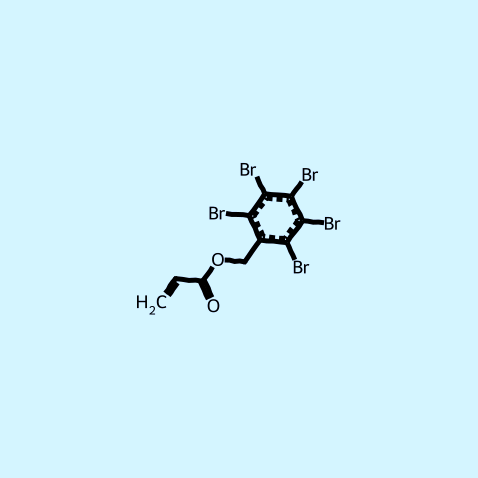 C=CC(=O)OCc1c(Br)c(Br)c(Br)c(Br)c1Br